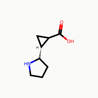 O=C(O)C1C[C@H]1C1CCCN1